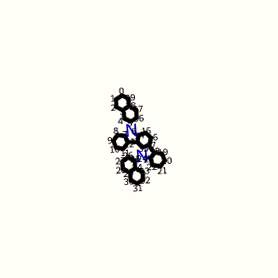 c1ccc2cc(-n3c4ccccc4c4c3ccc3c5ccccc5n(-c5cccc6ccccc56)c34)ccc2c1